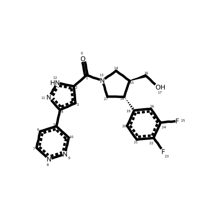 O=C(c1cc(-c2ccnnc2)n[nH]1)N1C[C@@H](CO)[C@H](c2ccc(F)c(F)c2)C1